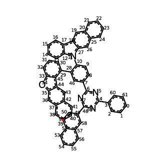 c1ccc(-c2nc(-c3ccc(-n4c5ccccc5c5cc6ccccc6cc54)c(-c4cccc5oc6cc7ccccc7cc6c45)c3)nc(-c3ccc4ccccc4c3)n2)cc1